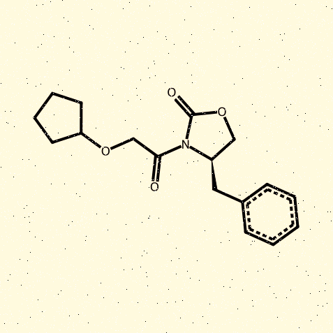 O=C(COC1CCCC1)N1C(=O)OC[C@H]1Cc1ccccc1